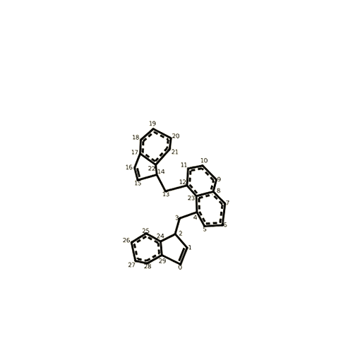 C1=CC(Cc2cccc3cccc(CC4C=Cc5ccccc54)c23)c2ccccc21